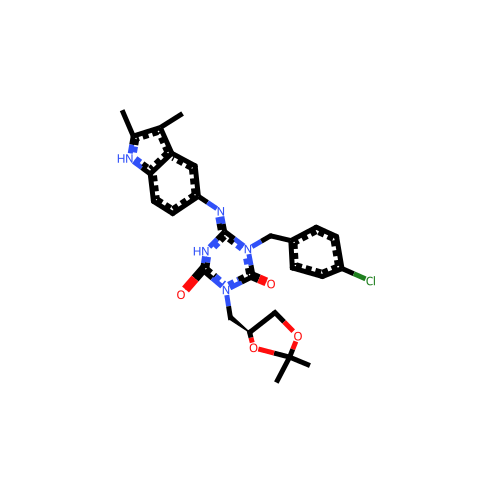 Cc1[nH]c2ccc(/N=c3\[nH]c(=O)n(C[C@H]4COC(C)(C)O4)c(=O)n3Cc3ccc(Cl)cc3)cc2c1C